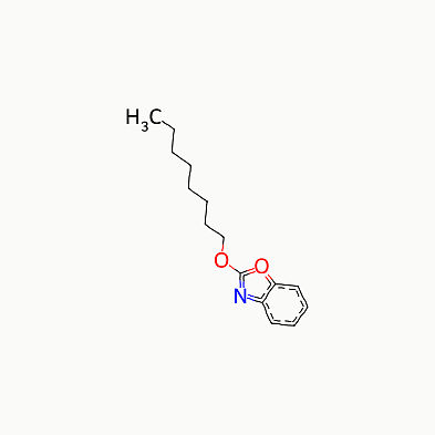 CCCCCCCCOc1nc2ccccc2o1